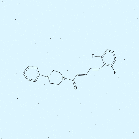 O=C(C=CC=Cc1c(F)cccc1F)N1CCN(c2ccccc2)CC1